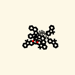 CC1(C)c2ccccc2-c2ccc(N(c3ccc4c(c3)C(C)(C)c3ccccc3-4)c3cc4c(c5ccccc35)-c3c(ccc5ccccc35)C4(C(C)(C)C)C3(C(C)(C)C)c4ccc5ccccc5c4-c4c3cc(N(c3ccc5c(c3)C(C)(C)c3ccccc3-5)c3ccc5c(c3)C(C)(C)c3ccccc3-5)c3ccccc43)cc21